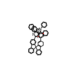 C1=C(c2ccc3c(c2)c2ccccc2n3-c2ccccc2)CCC2=C1C1(c3ccccc32)c2ccccc2-c2ccc(-c3nc(-c4ccccc4)nc(-c4ccccc4)n3)cc21